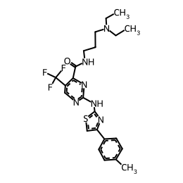 CCN(CC)CCCNC(=O)c1nc(Nc2nc(-c3ccc(C)cc3)cs2)ncc1C(F)(F)F